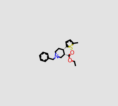 CCOC(=O)[C@@H]1CN(Cc2ccccc2)CC[C@@H]1c1ccc(C)s1